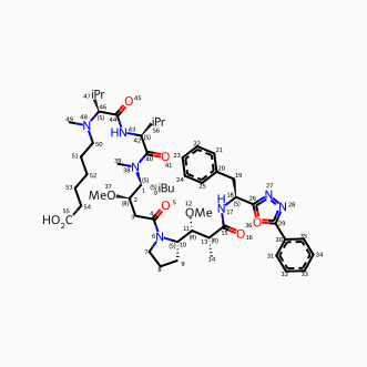 CC[C@H](C)[C@@H]([C@@H](CC(=O)N1CCC[C@H]1[C@H](OC)[C@@H](C)C(=O)N[C@@H](Cc1ccccc1)c1nnc(-c2ccccc2)o1)OC)N(C)C(=O)[C@@H](NC(=O)[C@H](C(C)C)N(C)CCCCCC(=O)O)C(C)C